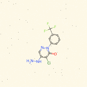 NNc1cnn(-c2cccc(C(F)(F)F)c2)c(=O)c1Cl